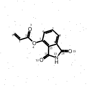 C=CC(=O)Oc1cccc2c1C(=O)NC2=O